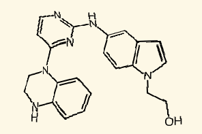 OCCn1ccc2cc(Nc3nccc(N4CCNc5ccccc54)n3)ccc21